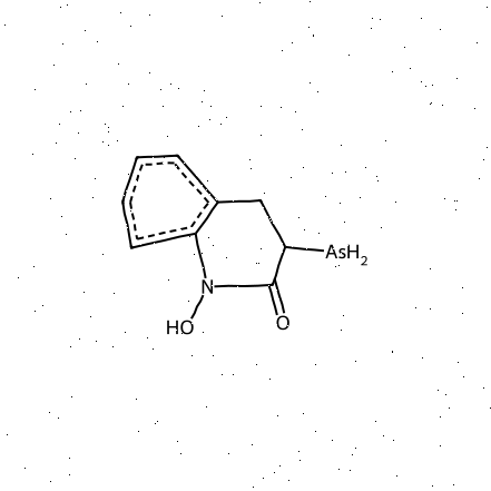 O=C1C([AsH2])Cc2ccccc2N1O